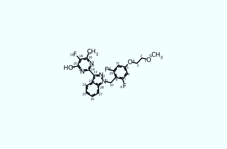 COCCOc1cc(F)c(Cn2nc(-c3nc(C)c(F)c(O)n3)c3ccccc32)c(F)c1